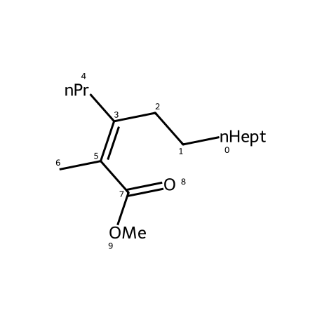 CCCCCCCCCC(CCC)=C(C)C(=O)OC